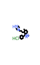 Cc1ccc2c(c(-c3ccccc3)nn2C)c1CCCN1CCNCC1.Cl